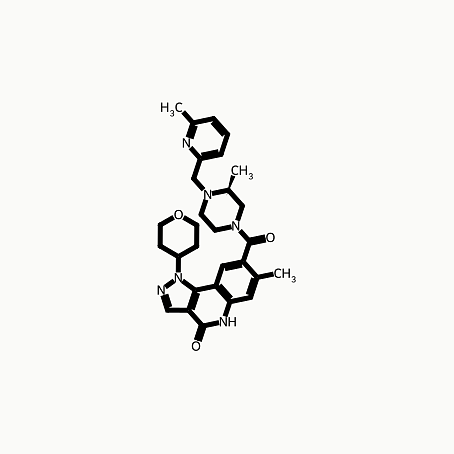 Cc1cccc(CN2CCN(C(=O)c3cc4c(cc3C)[nH]c(=O)c3cnn(C5CCOCC5)c34)C[C@@H]2C)n1